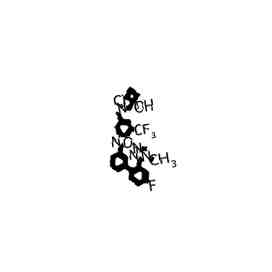 CN(Cc1cc(C(F)(F)F)c2oc(-c3cccc(-c4ccc(F)cc4-c4nncn4C)c3)nc2c1)CC1(O)CCC1